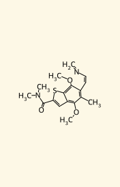 C=N/C=C\c1c(C)c(OC)c2cc(C(=O)N(C)C)sc2c1OC